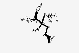 CCCC(N)(S)C(N)=O